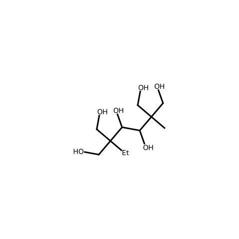 CCC(CO)(CO)C(O)C(O)C(C)(CO)CO